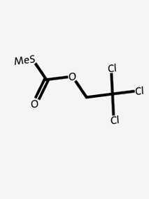 [CH2]SC(=O)OCC(Cl)(Cl)Cl